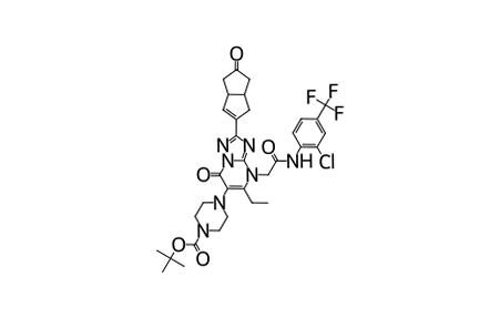 CCc1c(N2CCN(C(=O)OC(C)(C)C)CC2)c(=O)n2nc(C3=CC4CC(=O)CC4C3)nc2n1CC(=O)Nc1ccc(C(F)(F)F)cc1Cl